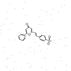 CS(=O)(=O)c1ccc(/C=C/c2cc(=O)cc(-c3ccccc3)o2)cc1